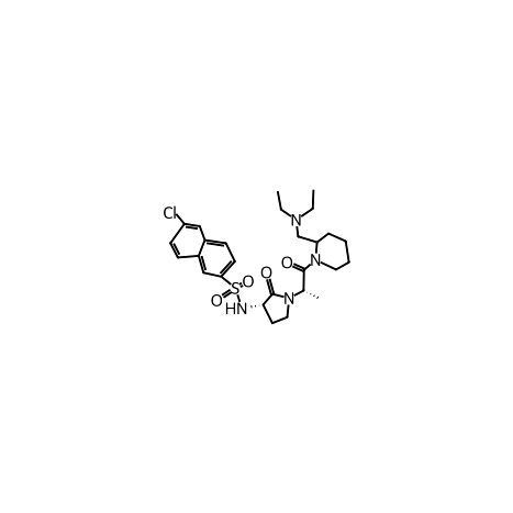 CCN(CC)CC1CCCCN1C(=O)[C@H](C)N1CC[C@H](NS(=O)(=O)c2ccc3cc(Cl)ccc3c2)C1=O